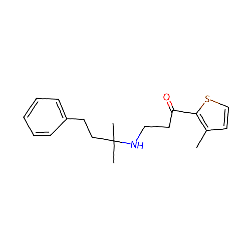 Cc1ccsc1C(=O)CCNC(C)(C)CCc1ccccc1